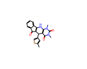 Cc1cc(C2C3=C(Nc4c2c(=O)n(C)c(=O)n4C)c2ccccc2C3=O)cs1